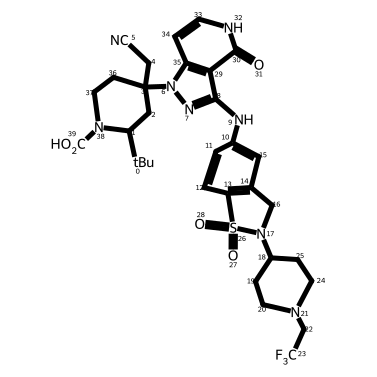 CC(C)(C)C1CC(CC#N)(n2nc(Nc3ccc4c(c3)CN(C3CCN(CC(F)(F)F)CC3)S4(=O)=O)c3c(=O)[nH]ccc32)CCN1C(=O)O